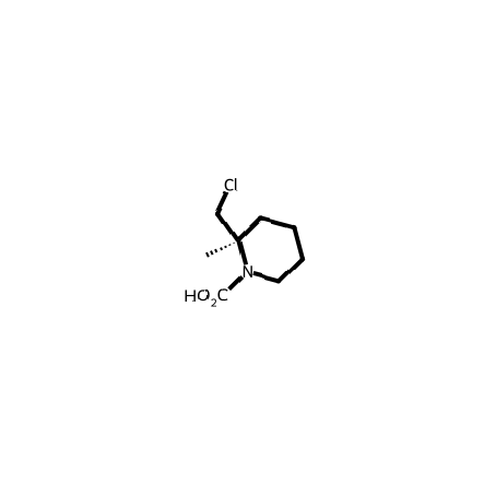 C[C@]1(CCl)CCCCN1C(=O)O